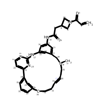 C=CC(=O)N1CC(CC(=O)Nc2cc3cc(c2)Nc2nccc(n2)-c2cccc(c2)OCC/C=C/CN(C)C3)C1